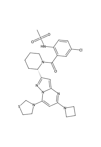 CS(=O)(=O)Nc1ccc(Cl)cc1C(=O)N1CCCC[C@H]1c1cc2nc(N3CCC3)cc(N3CCSC3)n2n1